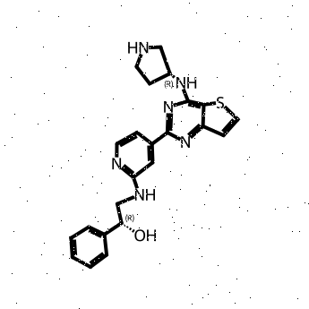 O[C@@H](CNc1cc(-c2nc(N[C@@H]3CCNC3)c3sccc3n2)ccn1)c1ccccc1